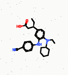 CC[C@H](CC(=O)O)c1ccc(N(CC)C2CCCCC2)c(Nc2ccc(C#N)cc2)c1